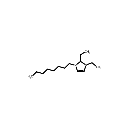 CCCCCCCCN1C=CN(CC)C1CC